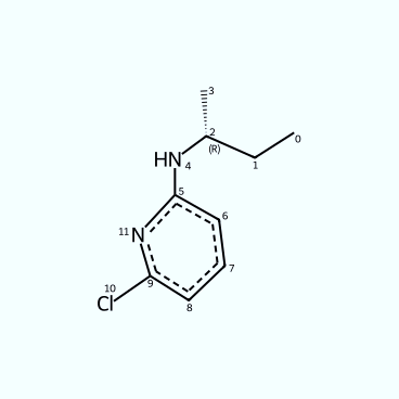 CC[C@@H](C)Nc1cccc(Cl)n1